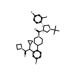 CC(C)(C)N1C[C@@H](C(=O)N2CCC(c3ccc(F)cc3C(C(=O)N3CCC3)C3CC3)CC2)[C@H](c2ccc(F)cc2F)C1